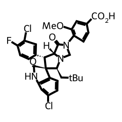 COc1cc(C(=O)O)ccc1N1CN2[C@@H](CC(C)(C)C)[C@@]3(C(=O)Nc4cc(Cl)ccc43)[C@H](c3ccc(F)c(Cl)c3)[C@@H]2C1=O